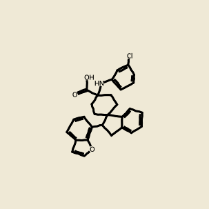 O=C(O)C1(Nc2cccc(Cl)c2)CCC2(CC1)c1ccccc1CC2c1cccc2ccoc12